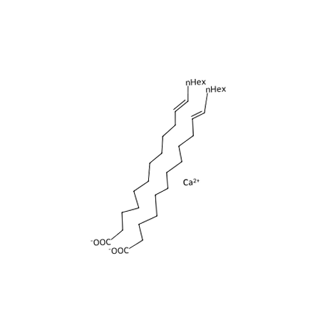 CCCCCC/C=C/CCCCCCCCCC(=O)[O-].CCCCCC/C=C/CCCCCCCCCC(=O)[O-].[Ca+2]